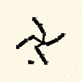 [N-]=[N+]=[N][W]([N]=[N+]=[N-])([N]=[N+]=[N-])[N]=[N+]=[N-].[Na]